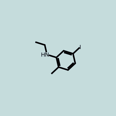 CCNc1cc(I)ccc1C